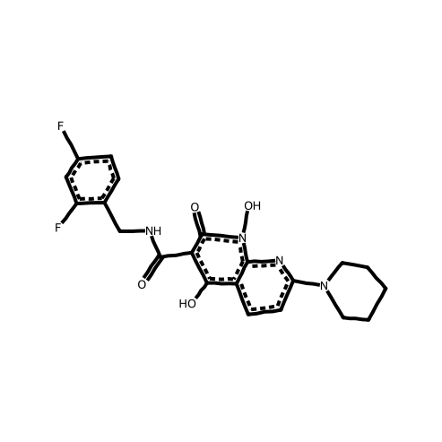 O=C(NCc1ccc(F)cc1F)c1c(O)c2ccc(N3CCCCC3)nc2n(O)c1=O